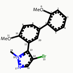 COc1c[c]ccc1-c1ccc(OC)c(-c2c(Br)cnn2C)c1